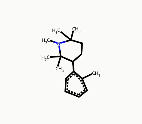 Cc1ccccc1C1CCC(C)(C)N(C)C1(C)C